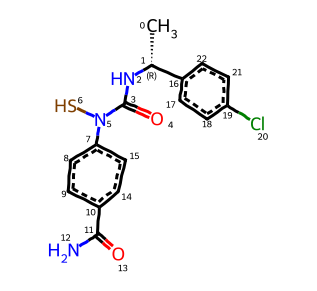 C[C@@H](NC(=O)N(S)c1ccc(C(N)=O)cc1)c1ccc(Cl)cc1